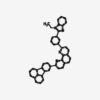 CCn1c(-c2cccc(-c3ccc4ccc5ccc(-c6ccc7c(c6)-c6cccc8cccc-7c68)nc5c4n3)c2)nc2ccccc21